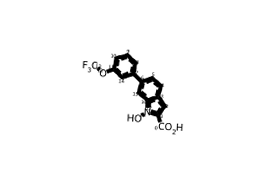 O=C(O)c1cc2ccc(-c3cccc(OC(F)(F)F)c3)cc2n1O